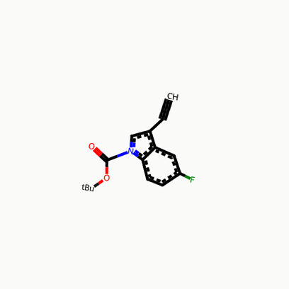 C#Cc1cn(C(=O)OC(C)(C)C)c2ccc(F)cc12